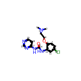 CN(C)CCOc1ccc(Cl)cc1NC(=O)Nc1ccncn1